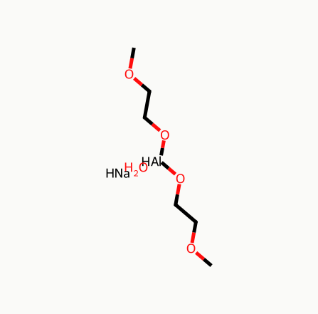 COCC[O][AlH][O]CCOC.O.[NaH]